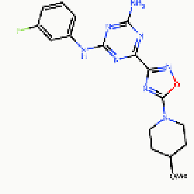 COC1CCN(c2nc(-c3nc(N)nc(Nc4cccc(F)c4)n3)no2)CC1